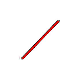 B=BB=BB=BB=BB=BB=BB=BB=BB=BB=BB=BB=BB=BB=BB=BB=BB=BB=BB=BB=BB=BB=BB=BB=BB=BB=BB=BB=BB=BB=BB=BB=BB=BB=BB=BB=BB=BB=BB=BB=BB=BB=BB=BB=BB=BB=BB=BOCC